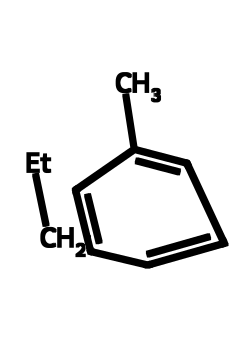 Cc1ccccc1.[CH2]CC